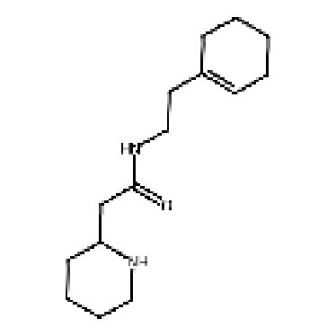 O=C(CC1CCCCN1)NCCC1=CCCCC1